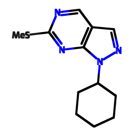 CSc1ncc2cnn(C3CCCCC3)c2n1